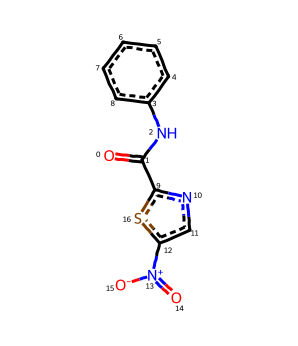 O=C(Nc1ccccc1)c1ncc([N+](=O)[O-])s1